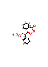 COCC(C(=O)c1ccccc1C(=O)O)c1ccccc1